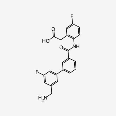 NCc1cc(F)cc(-c2cccc(C(=O)Nc3ccc(F)cc3CC(=O)O)c2)c1